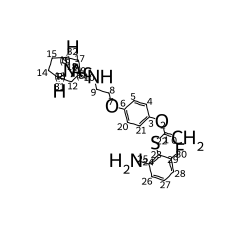 C=C(Oc1ccc(OCCN[C@@H]2C[C@H]3CC[C@@H](C2)N3C(C)=O)cc1)Sc1c(N)cccc1F